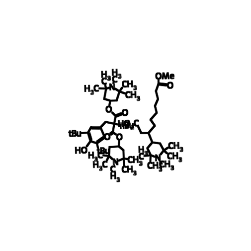 CCCCC(Cc1cc(C(C)(C)C)c(O)c(C(C)(C)C)c1)(C(=O)OC1CC(C)(C)N(C)C(C)(C)C1)C(=O)OC1CC(C)(C)N(C)C(C)(C)C1.COC(=O)CCCCCCC(CC(=O)O)C1CC(C)(C)N(C)C(C)(C)C1